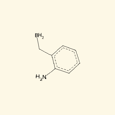 BCc1ccccc1N